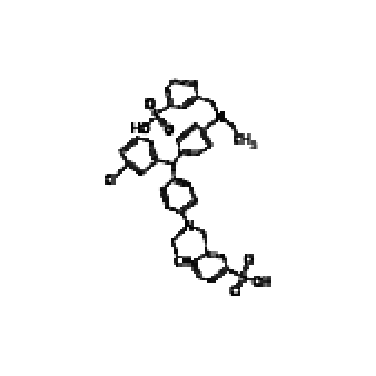 CCN(Cc1cccc(S(=O)(=O)O)c1)c1ccc(C(c2ccc(N(CC)Cc3cccc(S(=O)(=O)O)c3)cc2)c2cccc(Cl)c2)cc1